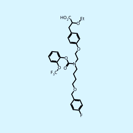 CCOC(Cc1ccc(OCCN(CCCCOCc2ccc(F)cc2)C(=O)Oc2ccccc2OC(F)(F)F)cc1)C(=O)O